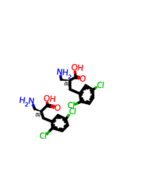 NC[C@H](Cc1cc(Cl)ccc1Cl)C(=O)O.NC[C@H](Cc1cc(Cl)ccc1Cl)C(=O)O